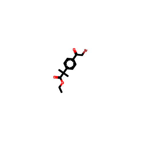 CCOC(=O)C(C)(C)c1ccc(C(=O)CBr)cc1